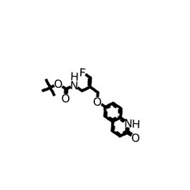 CC(C)(C)OC(=O)NC/C(=C\F)COc1ccc2[nH]c(=O)ccc2c1